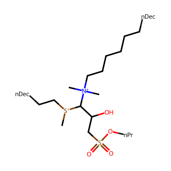 CCCCCCCCCCCCCCCC[N+](C)(C)C(C(O)CS(=O)(=O)OCCC)[S+](C)CCCCCCCCCCCC